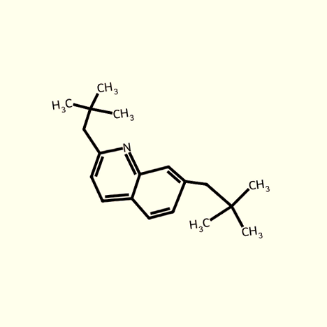 CC(C)(C)Cc1ccc2ccc(CC(C)(C)C)nc2c1